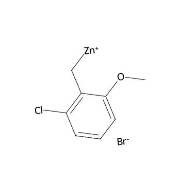 COc1cccc(Cl)c1[CH2][Zn+].[Br-]